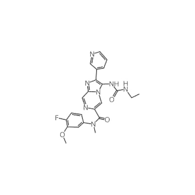 CCNC(=O)Nc1c(-c2cccnc2)nc2cnc(C(=O)N(C)c3ccc(F)c(OC)c3)cn12